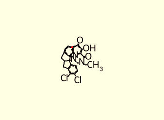 CCN1CN(C23c4ccccc4CC2Cc2c3ccc(Cl)c2Cl)n2ccc(=O)c(O)c2C1=O